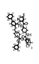 Cn1nc(C(=O)N[C@H]2CC[C@H](NC(=O)c3cc(F)cnc3Oc3cc(-c4ccccc4)ccc3CCN3CCN(C(=O)OCc4ccccc4)CC3)CC2)cc1C(F)(F)F